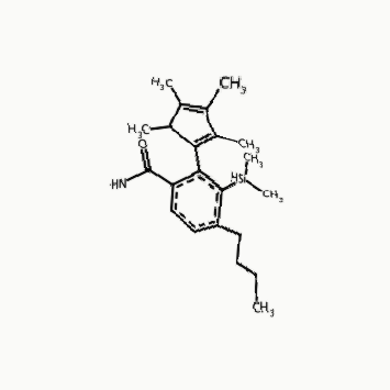 CCCCc1ccc(C([NH])=O)c(C2=C(C)C(C)=C(C)C2C)c1[SiH](C)C